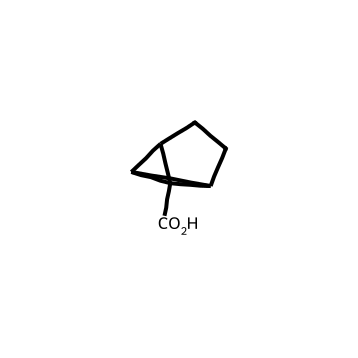 O=C(O)C12C3CCC1C32